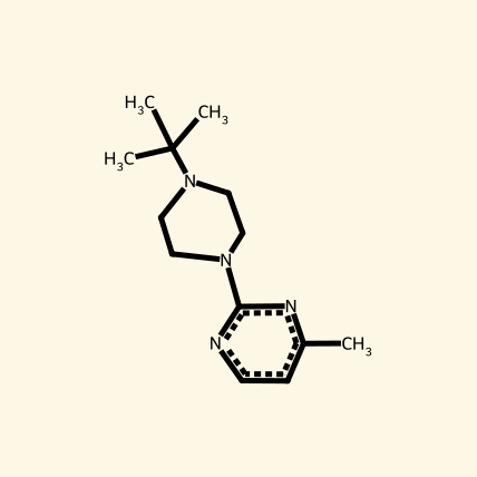 Cc1ccnc(N2CCN(C(C)(C)C)CC2)n1